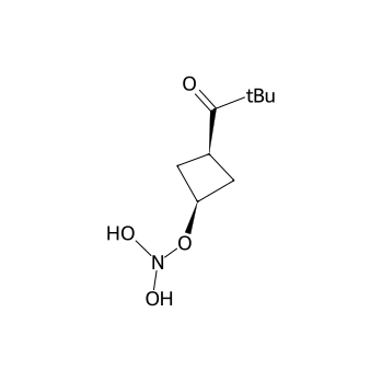 CC(C)(C)C(=O)[C@H]1C[C@@H](ON(O)O)C1